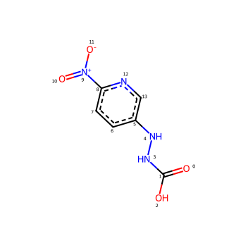 O=C(O)NNc1ccc([N+](=O)[O-])nc1